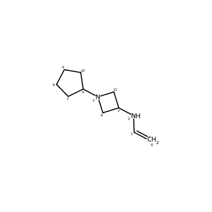 C=CNC1CN(C2CCCC2)C1